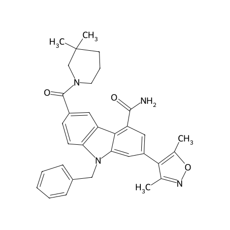 Cc1noc(C)c1-c1cc(C(N)=O)c2c3cc(C(=O)N4CCCC(C)(C)C4)ccc3n(Cc3ccccc3)c2c1